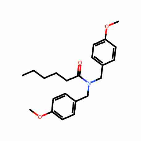 CCCCCC(=O)N(Cc1ccc(OC)cc1)Cc1ccc(OC)cc1